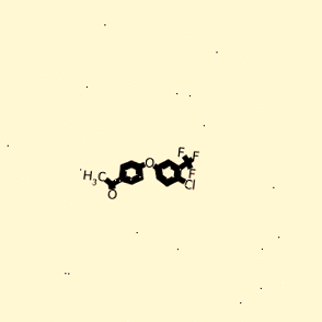 CC(=O)c1ccc(Oc2ccc(Cl)c(C(F)(F)F)c2)cc1